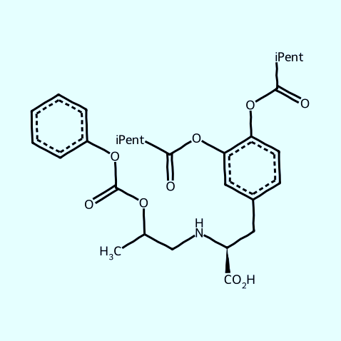 CCCC(C)C(=O)Oc1ccc(C[C@H](NCC(C)OC(=O)Oc2ccccc2)C(=O)O)cc1OC(=O)C(C)CCC